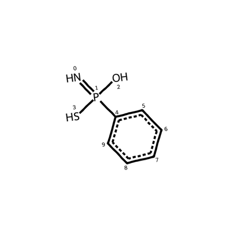 N=P(O)(S)c1ccccc1